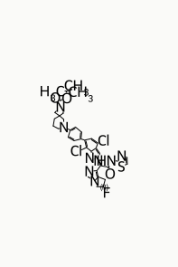 CC(C)(C)OC(=O)N1CC2(CCCN(c3ccc(-c4cc(Cl)c5cn(C(C(=O)Nc6nccs6)c6ncn7c6C[C@@H](F)C7)nc5c4Cl)cc3)C2)C1